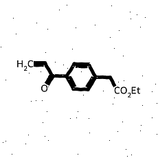 C=CC(=O)c1ccc(CC(=O)OCC)cc1